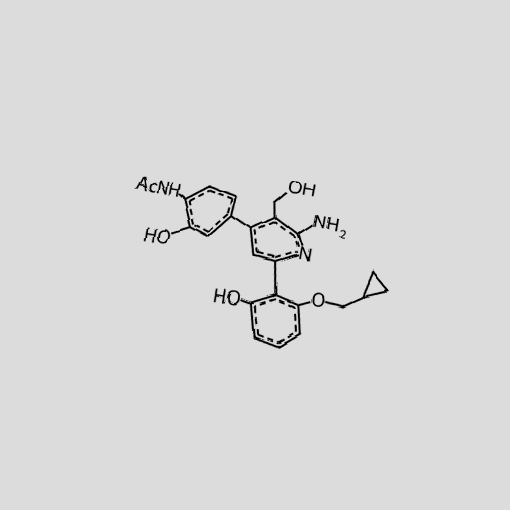 CC(=O)Nc1ccc(-c2cc(-c3c(O)cccc3OCC3CC3)nc(N)c2CO)cc1O